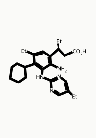 CCc1cnc(Nc2c(N)c([C@@H](CC)CC(=O)O)cc(CC)c2C2CCCCC2)nc1